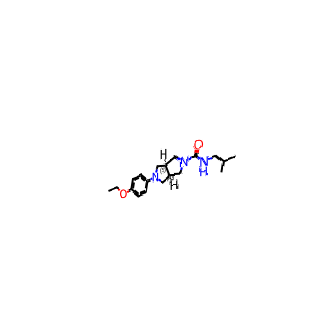 CCOc1ccc(N2C[C@H]3CN(C(=O)NCC(C)C)C[C@H]3C2)cc1